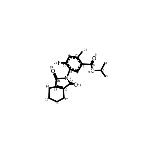 CC(C)OC(=O)c1cc(N2C(=O)C3=C(CCCC3)C2=O)c(F)cc1I